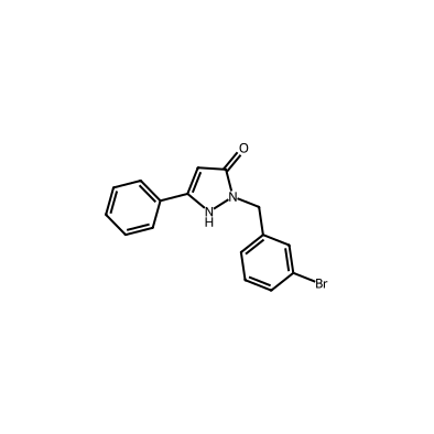 O=c1cc(-c2ccccc2)[nH]n1Cc1cccc(Br)c1